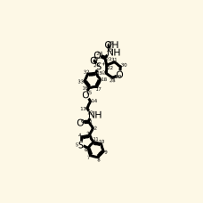 O=C(Cc1csc2ccccc12)NCCOc1ccc([S+]([O-])C2(C(=O)NO)CCOCC2)cc1